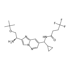 CC(C)(C)OC[C@H](N)c1cn2ncc(C(NC(=O)CCC(F)(F)F)C3CC3)cc2n1